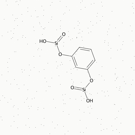 O=[Si](O)Oc1cccc(O[Si](=O)O)c1